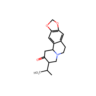 CC(C(=O)O)C1CN2CCc3cc4c(cc3C2CC1=O)OCO4